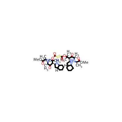 COC(=O)[C@H](C)N[C@@H](C)C(=O)C([C@@H]1C[C@H]2CCCCC2N1)C(C)(C)OC(=O)SSC(=O)OC(C)(C)C(C(=O)[C@H](C)N[C@@H](C)C(=O)OC)[C@@H]1C[C@H]2CCCCC2N1